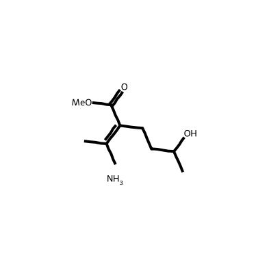 COC(=O)C(CCC(C)O)=C(C)C.N